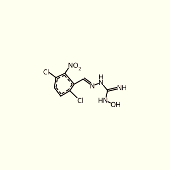 N=C(NO)NN=Cc1c(Cl)ccc(Cl)c1[N+](=O)[O-]